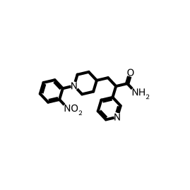 NC(=O)C(CC1CCN(c2ccccc2[N+](=O)[O-])CC1)c1cccnc1